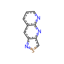 c1cnc2nc3csnc3cc2c1